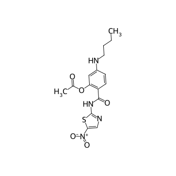 CCCCNc1ccc(C(=O)Nc2ncc([N+](=O)[O-])s2)c(OC(C)=O)c1